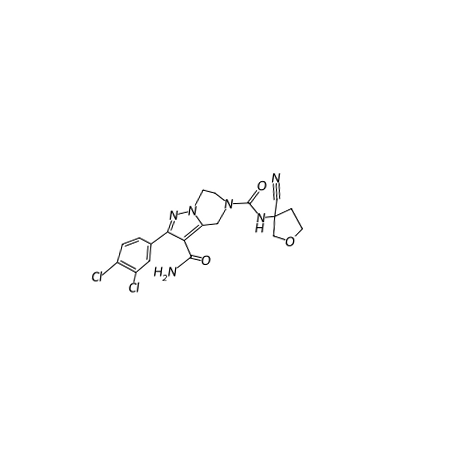 N#CC1(NC(=O)N2CCn3nc(-c4ccc(Cl)c(Cl)c4)c(C(N)=O)c3C2)CCOC1